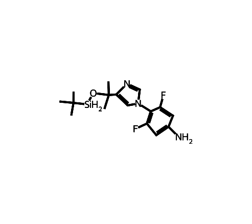 CC(C)(C)[SiH2]OC(C)(C)c1cn(-c2c(F)cc(N)cc2F)cn1